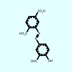 O=Cc1cc(N=Nc2cc(S(=O)(=O)O)ccc2S(=O)(=O)O)ccc1O